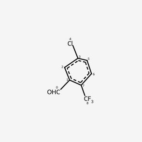 O=Cc1cc(Cl)ccc1C(F)(F)F